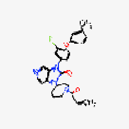 C=CC(=O)N1CCC[C@@H](n2c(=O)n(-c3ccc(Oc4cccc(C)c4)c(F)c3)c3cnccc32)C1